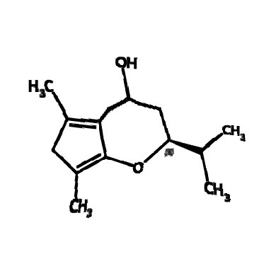 CC1=C2O[C@H](C(C)C)CC(O)C2=C(C)C1